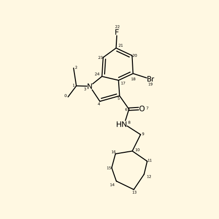 CC(C)n1cc(C(=O)NCC2CCCCCC2)c2c(Br)cc(F)cc21